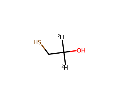 [2H]C([2H])(O)CS